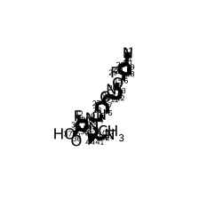 CC(n1c(CN2CCC(Oc3cccc(OCc4ccc(C#N)cc4F)n3)CC2)nc2c(F)cc(C(=O)O)cc21)C1(CC#N)CC1